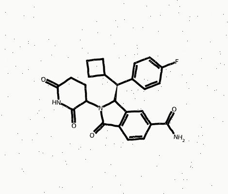 NC(=O)c1ccc2c(c1)C([C@H](c1ccc(F)cc1)C1CCC1)N(C1CCC(=O)NC1=O)C2=O